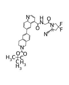 CC(C)(C)OC(=O)N1CCc2cc(-c3ccc4nccc(C(=O)NCC(=O)N5CC(F)(F)C[C@H]5C#N)c4c3)ccc2C1